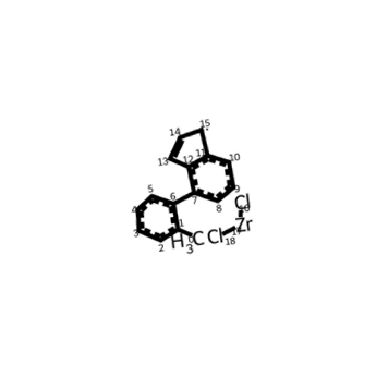 Cc1ccccc1-c1cccc2c1C=C[CH]2.[Cl][Zr][Cl]